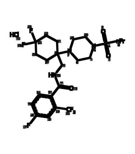 CCCS(=O)(=O)N1CCN(C2(CNC(=O)c3ccc(F)cc3C(F)(F)F)CCC(F)(F)CC2)CC1.Cl